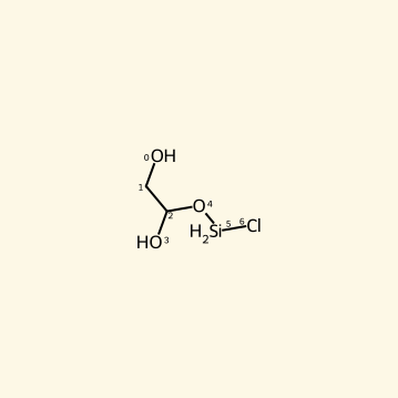 OCC(O)O[SiH2]Cl